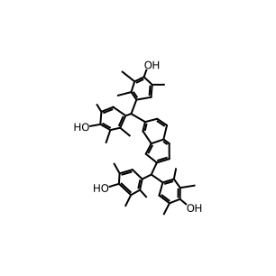 Cc1cc(C(c2ccc3ccc(C(c4cc(C)c(O)c(C)c4C)c4cc(C)c(O)c(C)c4C)cc3c2)c2cc(C)c(O)c(C)c2C)c(C)c(C)c1O